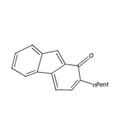 CCCCCC1=CC=C2C(=Cc3ccccc32)C1=O